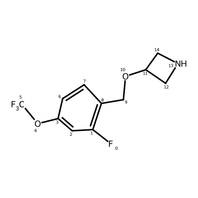 Fc1cc(OC(F)(F)F)ccc1COC1CNC1